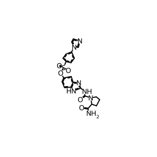 NC(=O)C1CCCN1C(=O)Nc1nc2cc(OS(=O)(=O)c3ccc(-n4ccnc4)cc3)ccc2[nH]1